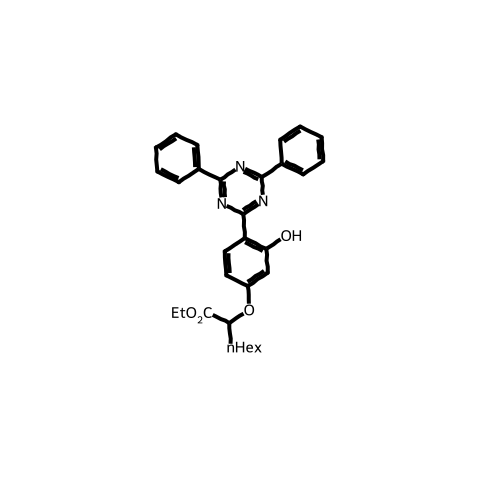 CCCCCCC(Oc1ccc(-c2nc(-c3ccccc3)nc(-c3ccccc3)n2)c(O)c1)C(=O)OCC